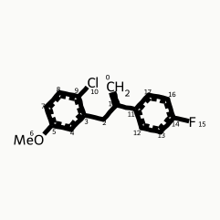 C=C(Cc1cc(OC)ccc1Cl)c1ccc(F)cc1